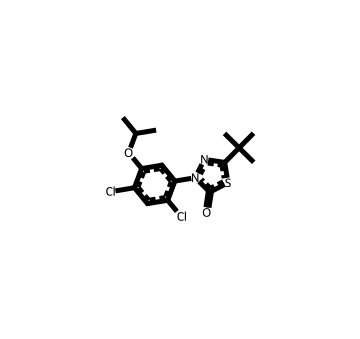 CC(C)Oc1cc(-n2nc(C(C)(C)C)sc2=O)c(Cl)cc1Cl